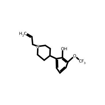 C=CCN1CCC(c2cccc(OC(F)(F)F)c2O)CC1